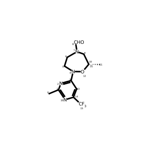 Cc1nc(N2CCN(C=O)C[C@H](C)O2)cc(C(F)(F)F)n1